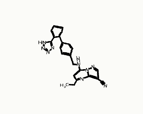 CCc1cc(NCc2ccc(-c3ccccc3-c3nnn[nH]3)cc2)n2ncc(C#N)c2n1